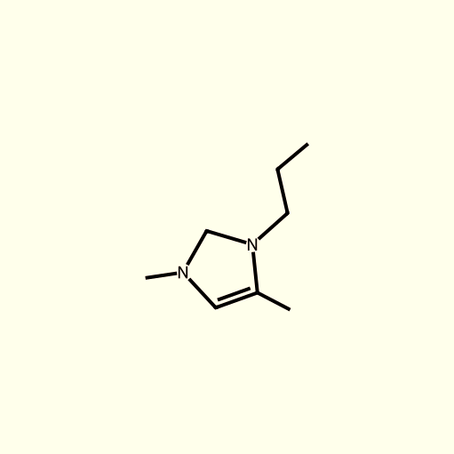 CCCN1CN(C)C=C1C